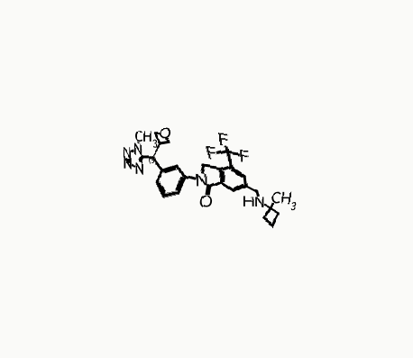 Cn1nnnc1[C@H](c1cccc(N2Cc3c(cc(CNC4(C)CCC4)cc3C(F)(F)F)C2=O)c1)C1COC1